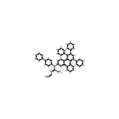 N=C/N=C(\N)N(c1ccc(-c2ccccc2)cc1)c1ccc2c(c1)c1ccccc1c1c(-c3ccccc3)cc(-c3ccccc3)c(-c3ccccc3)c21